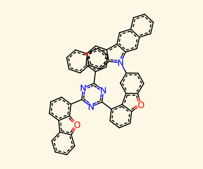 c1ccc(-c2nc(-c3cccc4c3oc3ccccc34)nc(-c3cccc4oc5ccc(-n6c7cc8ccccc8cc7c7cc8ccccc8cc76)cc5c34)n2)cc1